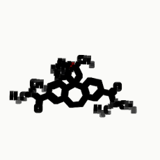 C[C@H](N)CC1(c2nn[nH]n2)c2ccc(C(=O)N(C)C)cc2CCc2cc(C(=O)N(C)C)ccc21